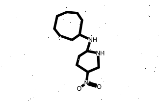 O=[N+]([O-])C1CCC(NC2CCCCCCC2)NC1